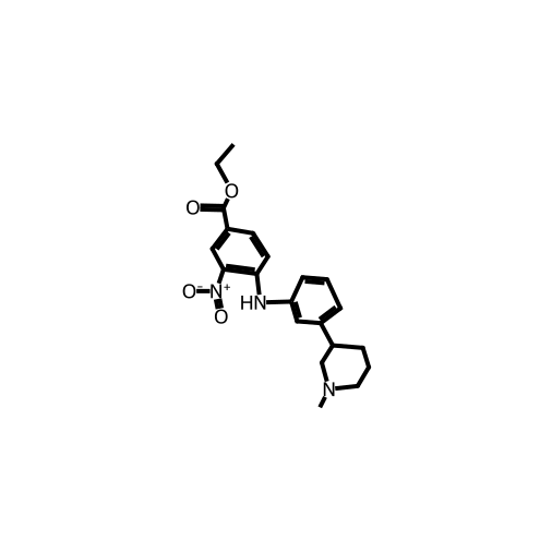 CCOC(=O)c1ccc(Nc2cccc(C3CCCN(C)C3)c2)c([N+](=O)[O-])c1